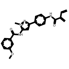 C=CC(=C)C(=O)Nc1ccc(-c2cc(NC(=O)c3cccc(OC)c3)n(C)n2)cc1